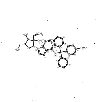 C=C[C@@]1(O)[C@H](O)[C@@H](CO)O[C@H]1n1cnc2c(NC(c3ccccc3)(c3ccccc3)c3ccc(OC)cc3)ncnc21